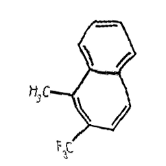 Cc1c(C(F)(F)F)ccc2ccccc12